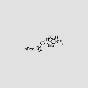 CCCCCCCCCCCc1noc(-c2ccc(CN(C(=O)O)[C@@H](CC(C)(C)C)c3ccc(C(F)(F)F)cc3)cc2)n1